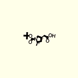 C[C@@H]1C[C@H](CC(=O)O)CN1C(=O)OC(C)(C)C